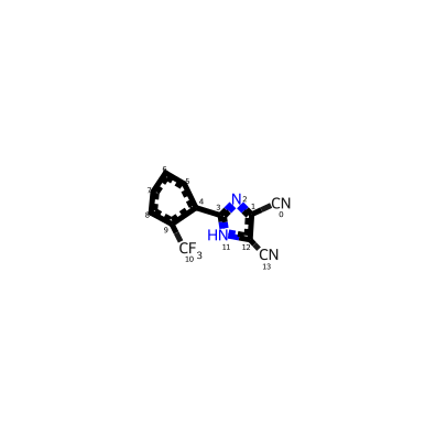 N#Cc1nc(-c2ccccc2C(F)(F)F)[nH]c1C#N